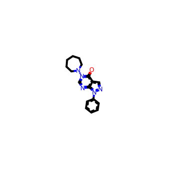 O=c1c2cnn(-c3ccccc3)c2ncn1N1CCCCCC1